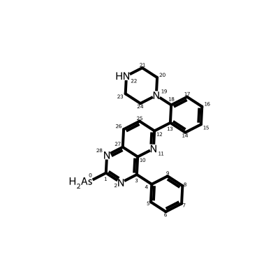 [AsH2]c1nc(-c2ccccc2)c2nc(-c3ccccc3N3CCNCC3)ccc2n1